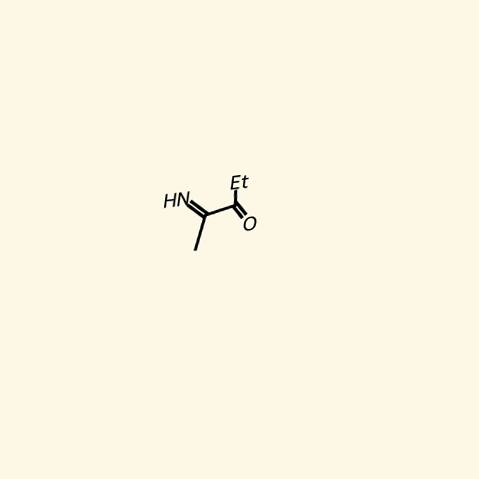 CCC(=O)C(C)=N